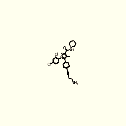 Cc1c(C(=O)NN2CCCCC2)nn(-c2ccc(Cl)cc2Cl)c1-c1ccc(C#CCCN)cc1